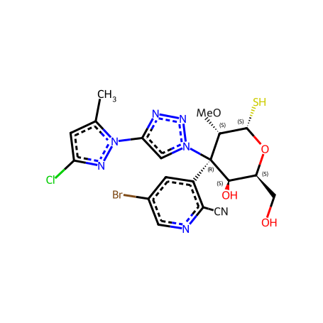 CO[C@@H]1[C@H](S)O[C@@H](CO)[C@@H](O)[C@@]1(c1cc(Br)cnc1C#N)n1cc(-n2nc(Cl)cc2C)nn1